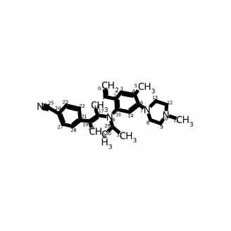 C=Cc1cc(C)c(N2CCN(C)CC2)cc1N(/C(C)=C(\C)c1ccc(C#N)cc1)C(C)C